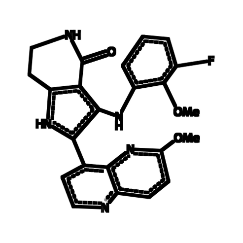 COc1ccc2nccc(-c3[nH]c4c(c3Nc3cccc(F)c3OC)C(=O)NCC4)c2n1